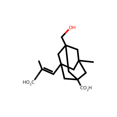 CC(=CC12CC3(C)CC(CO)(C1)CC(C(=O)O)(C3)C2)C(=O)O